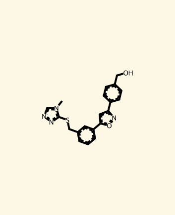 Cn1cnnc1SCc1cccc(-c2cc(-c3ccc(CO)cc3)no2)c1